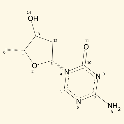 C[C@H]1O[C@@H](n2cnc(N)nc2=O)CC1O